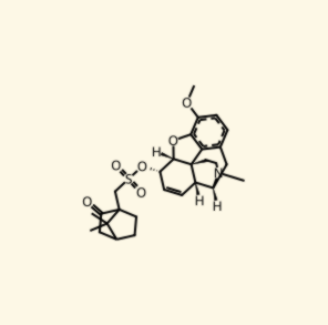 COc1ccc2c3c1O[C@H]1[C@@H](OS(=O)(=O)CC45CCC(CC4=O)C5(C)C)C=C[C@H]4[C@@H](C2)N(C)CC[C@@]341